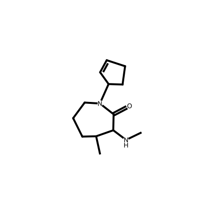 CNC1C(=O)N(C2C=CCC2)CCCC1C